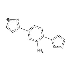 Nc1cc(-c2cc[nH]n2)ccc1-c1ccsc1